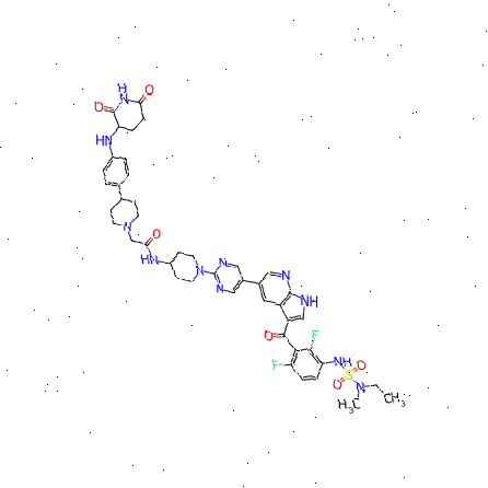 CCN(C)S(=O)(=O)Nc1ccc(F)c(C(=O)c2c[nH]c3ncc(-c4cnc(N5CCC(NC(=O)CN6CCC(c7ccc(NC8CCC(=O)NC8=O)cc7)CC6)CC5)nc4)cc23)c1F